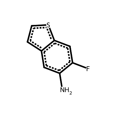 Nc1cc2ccsc2cc1F